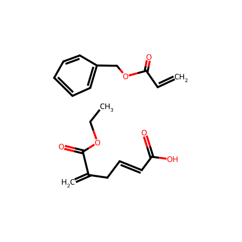 C=C(CC=CC(=O)O)C(=O)OCC.C=CC(=O)OCc1ccccc1